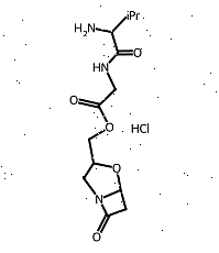 CC(C)C(N)C(=O)NCC(=O)OCC1CN2C(=O)CC2O1.Cl